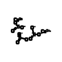 [Ce+3].[Ce+3].[O]=[Ti]([O-])[O-].[O]=[Ti]([O-])[O-].[O]=[Ti]([O-])[O-]